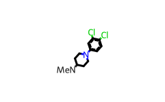 CNC1CCN(c2ccc(Cl)c(Cl)c2)CC1